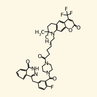 CC1(C)CCc2cc3c(C(F)(F)F)cc(=O)oc3cc2N1CCCCCC(=O)N1CCN(C(=O)c2cc(Cc3n[nH]c(=O)c4ccccc34)ccc2F)CC1